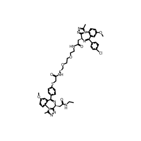 CCNC(=O)C[C@@H]1N=C(c2ccc(SCC(=O)NCCOCCOCCNC(=O)C[C@@H]3N=C(c4ccc(Cl)cc4)c4cc(OC)ccc4-n4c(C)nnc43)cc2)c2cc(OC)ccc2-n2c(C)nnc21